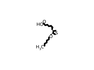 CCCCCCCOC[C@H]1CSC[C@@H]1C/C=C\CCCC(=O)O